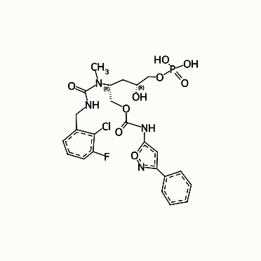 CN(C(=O)NCc1cccc(F)c1Cl)[C@@H](COC(=O)Nc1cc(-c2ccccc2)no1)C[C@@H](O)COP(=O)(O)O